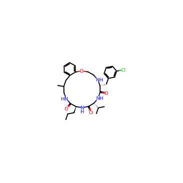 CCC[C@@H]1NC(=O)[C@@H](C(C)C)NC(=O)[C@@H](Cc2cccc(Cl)c2)NCCOc2ccccc2CC(C)CNC1=O